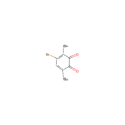 CC(C)(C)C1=CC(Br)=C(C(C)(C)C)C(=O)C1=O